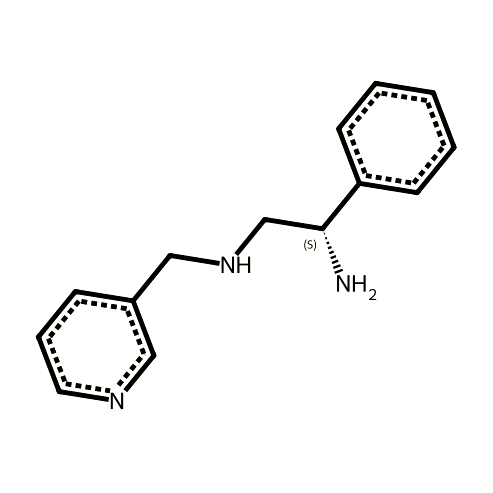 N[C@H](CNCc1cccnc1)c1ccccc1